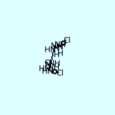 N=C(NCCCCCCNC(=NCl)NC(=N)Nc1ccc(Cl)cc1)NC(=N)Nc1ccc(Cl)cc1